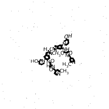 Cc1cc(-c2nc(C(=O)Nc3cc4c(cnn4C)cc3N3CCCC(O)C3)co2)ccn1.Cc1cc(-c2nc(C(=O)Nc3cc4nn(C)cc4cc3N3CCCC(O)C3)co2)ccn1